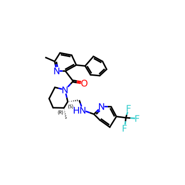 Cc1ccc(-c2ccccc2)c(C(=O)N2CCC[C@@H](C)[C@H]2CNc2ccc(C(F)(F)F)cn2)n1